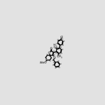 CON1CCC2(CC1)OC(=O)C(c1c(C)ccc(-c3ccc(Cl)cc3)c1C)=C2OCc1ccccc1